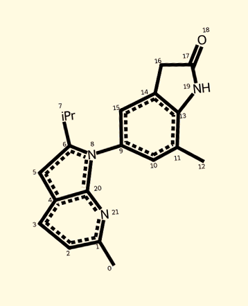 Cc1ccc2cc(C(C)C)n(-c3cc(C)c4c(c3)CC(=O)N4)c2n1